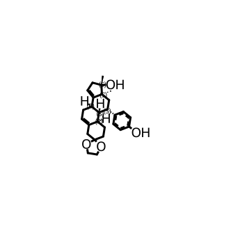 C[C@]1(O)CC=C2[C@@H]3CC=C4CC5(CC[C@@H]4[C@H]3[C@@H](c3ccc(O)cc3)C[C@@]21C)OCCO5